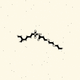 CCCOCCOCCC(=O)NS(=O)(=O)CCCCC(C)CC